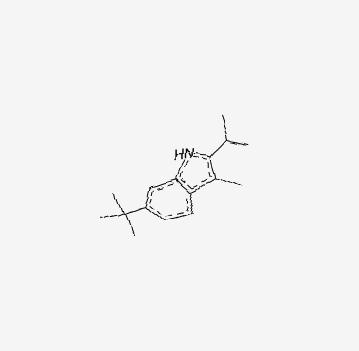 Cc1c(C(C)C)[nH]c2cc(C(C)(C)C)ccc12